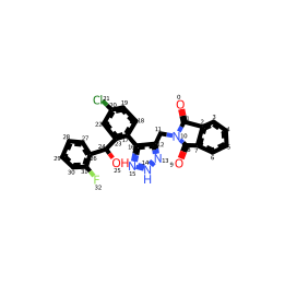 O=C1c2ccccc2C(=O)N1Cc1n[nH]nc1-c1ccc(Cl)cc1C(O)c1ccccc1F